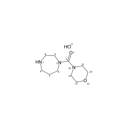 Cl.O=C(N1CCCNCC1)N1CCOCC1